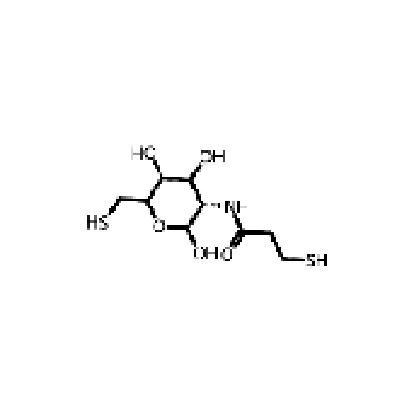 O=C(CCS)N[C@@H]1C(O)OC(CS)[C@@H](O)C1O